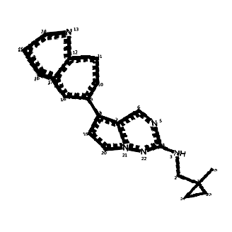 CC1(CNc2ncc3c(-c4ccc5ncccc5c4)ccn3n2)CC1